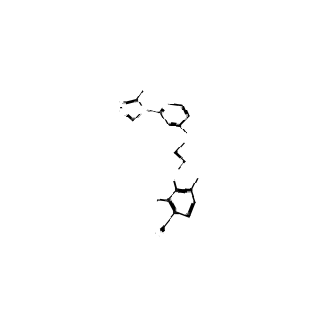 Cc1ccc(C#N)c(F)c1OCCOc1ccnc(-n2cnnc2C)c1